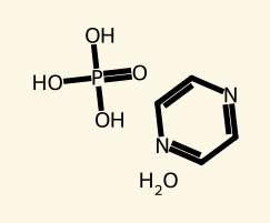 O.O=P(O)(O)O.c1cnccn1